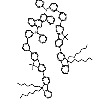 CCCCCCCC1(CCCCCCC)c2ccccc2-c2ccc(-c3ccc4c(c3)C(C)(C)c3cc(-c5cccc(-c6cccc(N(c7ccccc7)c7cc8c9ccccc9c(N(c9ccccc9)c9cccc(-c%10cccc(-c%11ccc%12c(c%11)C(C)(C)c%11cc(-c%13ccc%14c(c%13)C(CCCCCCC)(CCCCCCC)c%13ccccc%13-%14)ccc%11-%12)c%10)c9)cc8c8ccccc78)c6)c5)ccc3-4)cc21